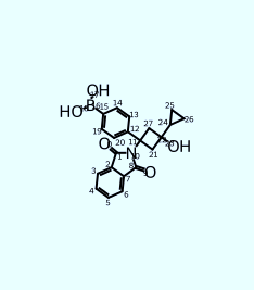 O=C1c2ccccc2C(=O)N1C1(c2ccc(B(O)O)cc2)CC(O)(C2CC2)C1